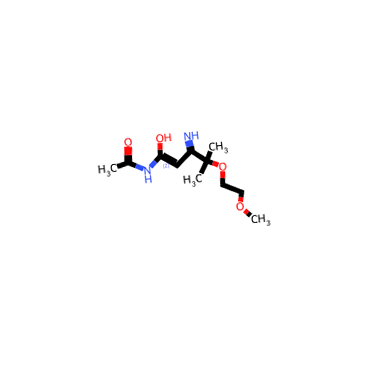 COCCOC(C)(C)C(=N)/C=C(\O)NC(C)=O